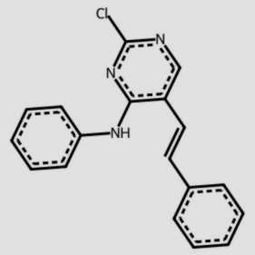 Clc1ncc(/C=C/c2ccccc2)c(Nc2ccccc2)n1